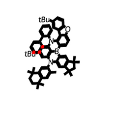 Cc1cc2c(cc1N1c3cc4c(cc3B3c5ccc6oc7ccc(C(C)(C)C)cc7c6c5N(c5ccccc5-c5ccccc5)c5cc(C(C)(C)C)cc1c53)C(C)(C)CC4(C)C)C(C)(C)CCC2(C)C